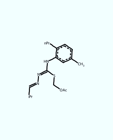 CCCc1ccc(C)cc1N/C(=N/N=C/C(C)C)SCOC(C)=O